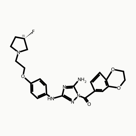 Nc1nc(Nc2ccc(OCCN3CC[C@H](F)C3)cc2)nn1C(=O)c1ccc2c(c1)OCCO2